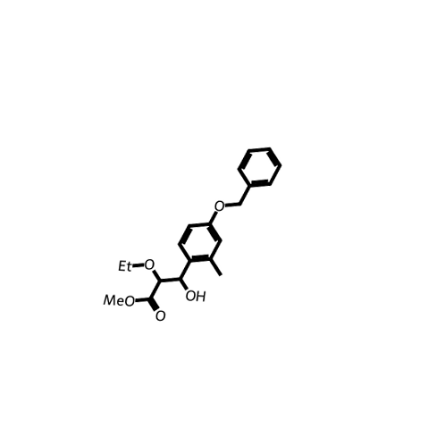 CCOC(C(=O)OC)C(O)c1ccc(OCc2ccccc2)cc1C